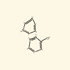 Clc1cccnn1.c1ccncc1